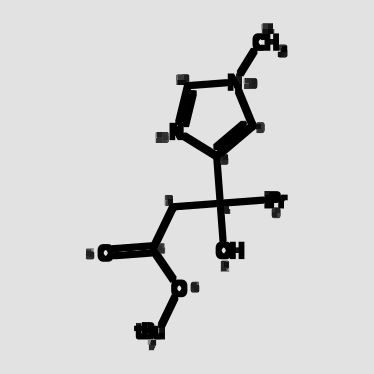 CC(C)C(O)(CC(=O)OC(C)(C)C)c1cn(C)cn1